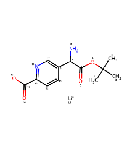 CC(C)(C)OC(=O)C(N)c1ccc(C(=O)[O-])nc1.[Li+]